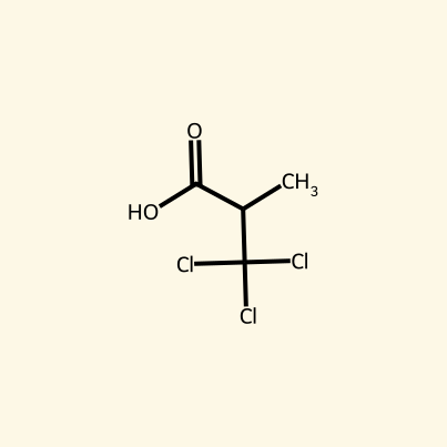 CC(C(=O)O)C(Cl)(Cl)Cl